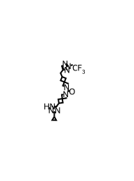 O=C(N1CC2(CC(Cc3cnn(CC(F)(F)F)n3)C2)C1)N1CC2(CC(c3nc(C4CC4)n[nH]3)C2)C1